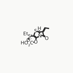 CC=C1C(=O)N2C(OC(=O)O)=C([S+]([O-])CC)S[C@@H]12